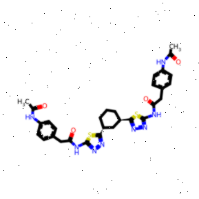 CC(=O)Nc1ccc(CC(=O)Nc2nnc([C@@H]3CCC[C@@H](c4nnc(NC(=O)Cc5ccc(NC(C)=O)cc5)s4)C3)s2)cc1